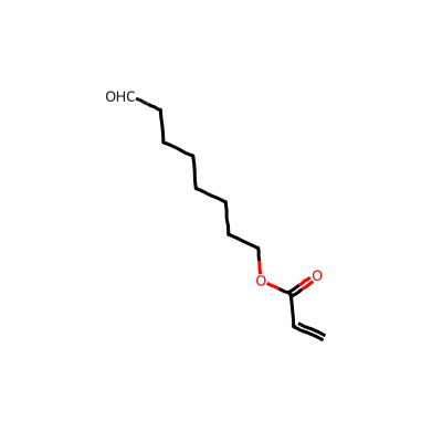 C=CC(=O)OCCCCCCCC=O